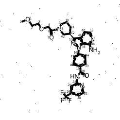 COCCOCC(=O)N1CCC[C@@H](c2nn(-c3ccc(C(=O)Nc4cc(C(F)(F)F)ccn4)cc3)c3c(N)nccc23)C1